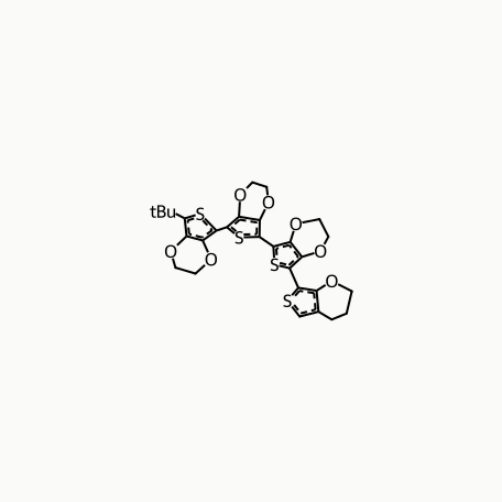 CC(C)(C)c1sc(-c2sc(-c3sc(-c4scc5c4OCCC5)c4c3OCCO4)c3c2OCCO3)c2c1OCCO2